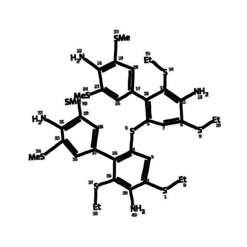 CCSc1cc(Sc2cc(SCC)c(N)c(SCC)c2-c2cc(SC)c(N)c(SC)c2)c(-c2cc(SC)c(N)c(SC)c2)c(SCC)c1N